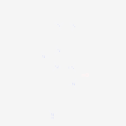 O=C(Nc1cccc(-c2nc3ccccn3c2-c2ccnc(Nc3cccc(C4CCNC4)c3)n2)c1)N1CCc2ccccc21